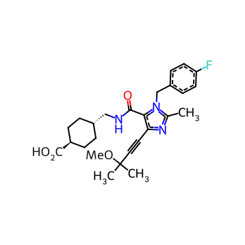 COC(C)(C)C#Cc1nc(C)n(Cc2ccc(F)cc2)c1C(=O)NC[C@H]1CC[C@H](C(=O)O)CC1